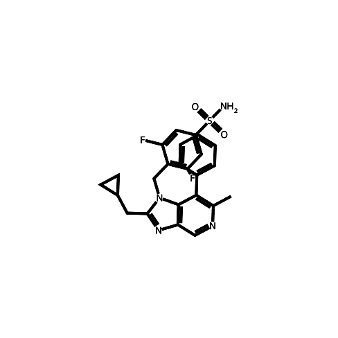 Cc1ncc2nc(CC3CC3)n(Cc3c(F)cc(S(N)(=O)=O)cc3F)c2c1-c1ccccc1